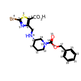 O=C(O)c1sc(Br)nc1CN[C@H]1CCCN(C(=O)OCc2ccccc2)C1